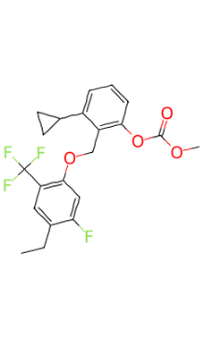 CCc1cc(C(F)(F)F)c(OCc2c(OC(=O)OC)cccc2C2CC2)cc1F